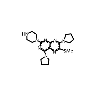 CSc1nc2c(N3CCCC3)nc(N3CCNCC3)nc2nc1N1CCCC1